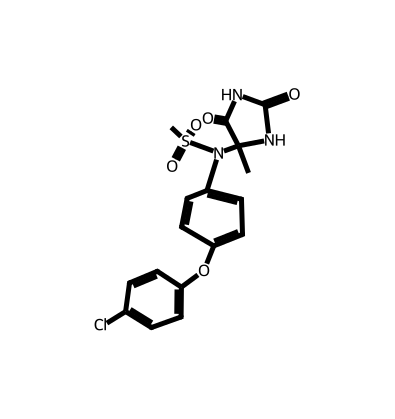 CC1(N(c2ccc(Oc3ccc(Cl)cc3)cc2)S(C)(=O)=O)NC(=O)NC1=O